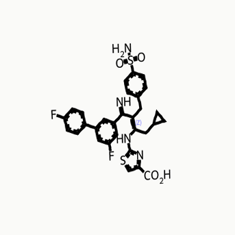 N=C(/C(Cc1ccc(S(N)(=O)=O)cc1)=C(/CC1CC1)Nc1nc(C(=O)O)cs1)c1cc(F)cc(-c2ccc(F)cc2)c1